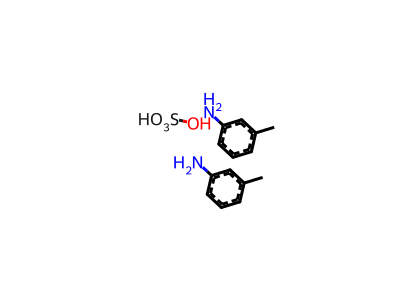 Cc1cccc(N)c1.Cc1cccc(N)c1.O=S(=O)(O)O